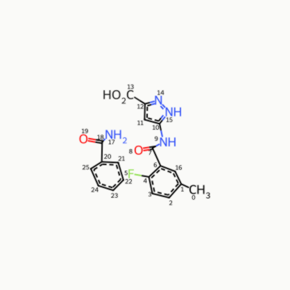 Cc1ccc(F)c(C(=O)Nc2cc(C(=O)O)n[nH]2)c1.NC(=O)c1ccccc1